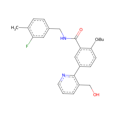 Cc1ccc(CNC(=O)c2cc(-c3ncccc3CO)ccc2OCC(C)C)cc1F